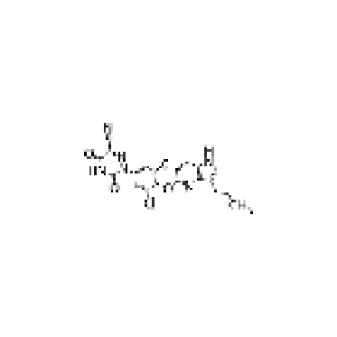 CCCc1c[nH]c2ccc(Oc3c(Cl)cc(-n4nc(C#N)c(=O)[nH]c4=O)cc3Cl)nc12